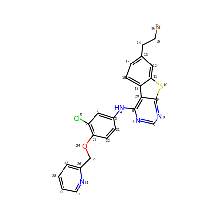 Clc1cc(Nc2ncnc3sc4cc(CCBr)ccc4c23)ccc1OCc1ccccn1